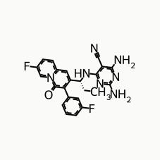 CC[C@@H](Nc1nc(N)nc(N)c1C#N)c1cc2ccc(F)cn2c(=O)c1-c1cccc(F)c1